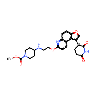 CC(C)(C)OC(=O)N1CCC(NCCOc2ccc3c(ccc4occ([C@@H]5CCC(=O)NC5=O)c43)n2)CC1